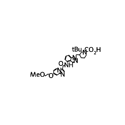 COCCOc1ccn2c(C(=O)Nc3cccc4c3cnn4CC3CCCN(C(=O)O)C3C(C)(C)C)cnc2c1